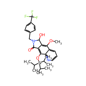 COc1c2c(c(O[Si](C(C)C)(C(C)C)C(C)C)c3ncccc13)C(=O)N(Cc1ccc(C(F)(F)F)cc1)C2O